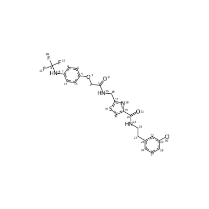 O=C(COc1ccc(NC(F)(F)F)cc1)NCc1nc(C(=O)NCCc2cccc(Cl)c2)cs1